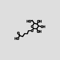 O=C(O)CCCCOC1OC(CO)C(O)C(O)C1O